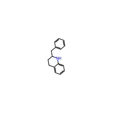 c1ccc(CC2CCc3ccccc3N2)cc1